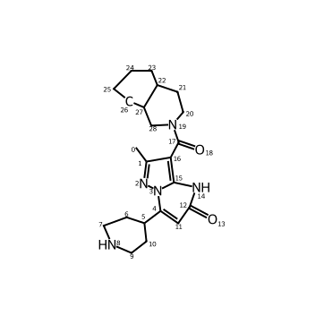 Cc1nn2c(C3CCNCC3)cc(=O)[nH]c2c1C(=O)N1CCC2CCCCC2C1